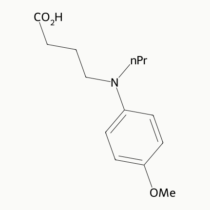 CCCN(CCCC(=O)O)c1ccc(OC)cc1